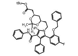 CC(C)c1c(C(=O)Nc2ccccc2)c(-c2ccccc2)c(-c2ccc(F)cc2OCc2ccccc2)n1CC[C@@H]1C[C@H](CC(=O)OC(C)(C)C)OC(C)(C)O1